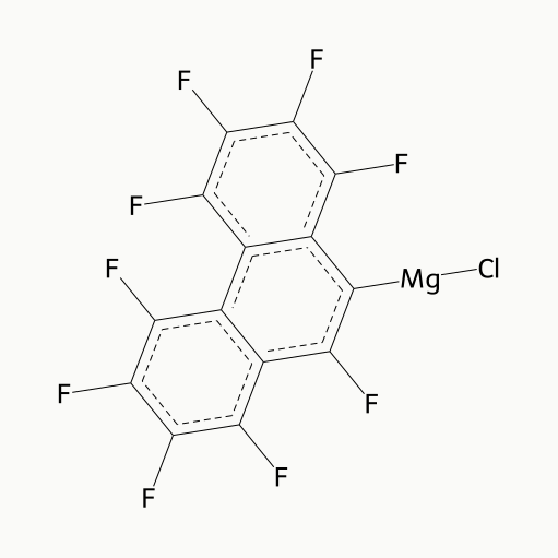 Fc1c(F)c(F)c2c(c1F)c(F)[c]([Mg][Cl])c1c(F)c(F)c(F)c(F)c12